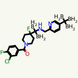 BC(B)(B)c1ccc(CNC(B)(B)C2(F)CCN(C(=O)c3ccc(F)c(Cl)c3)CC2)nc1